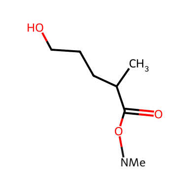 CNOC(=O)C(C)CCCO